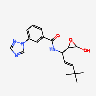 CC(C)(C)/C=C/C(NC(=O)c1cccc(-n2cncn2)c1)C1OC1O